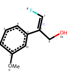 COc1cccc(/C(=C\F)CO)c1